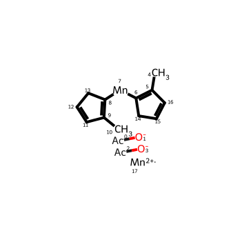 CC(=O)[O-].CC(=O)[O-].CC1=[C]([Mn][C]2=C(C)C=CC2)CC=C1.[Mn+2]